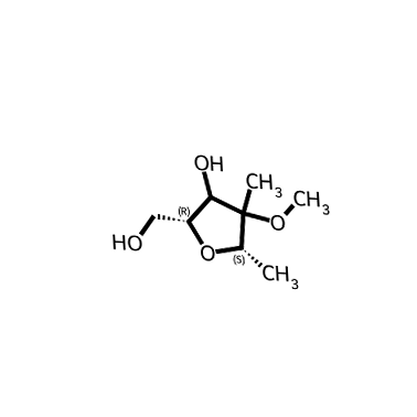 COC1(C)C(O)[C@@H](CO)O[C@H]1C